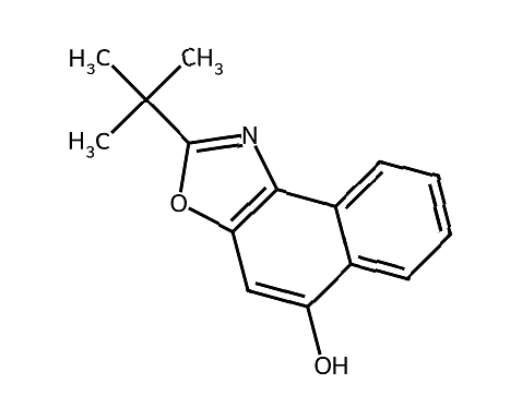 CC(C)(C)c1nc2c(cc(O)c3ccccc32)o1